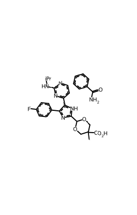 CC(C)Nc1nccc(-c2[nH]c(C3OCC(C)(C(=O)O)CO3)nc2-c2ccc(F)cc2)n1.NC(=O)c1ccccc1